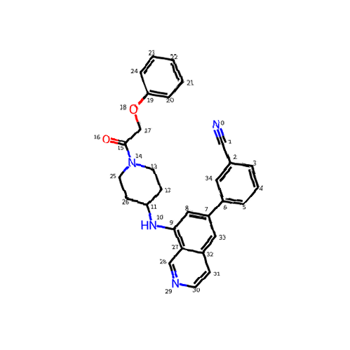 N#Cc1cccc(-c2cc(NC3CCN(C(=O)COc4ccccc4)CC3)c3cnccc3c2)c1